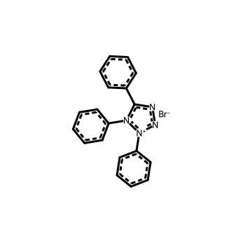 [Br-].c1ccc(-c2nn[n+](-c3ccccc3)n2-c2ccccc2)cc1